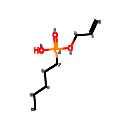 C=CCOP(=O)(O)CCCCC